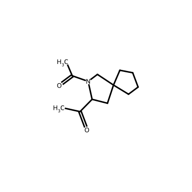 CC(=O)C1CC2(CCCC2)CN1C(C)=O